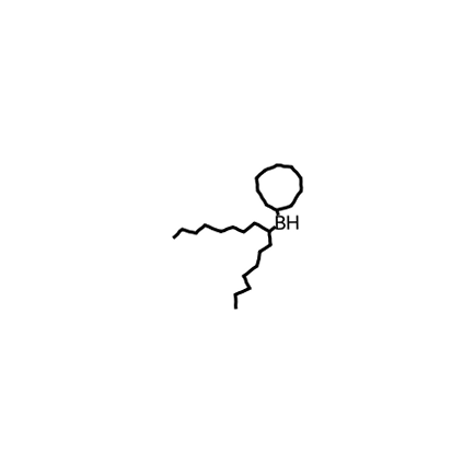 CCCCCCCCC(BC1CCCCCCCCC1)CCCCCCC